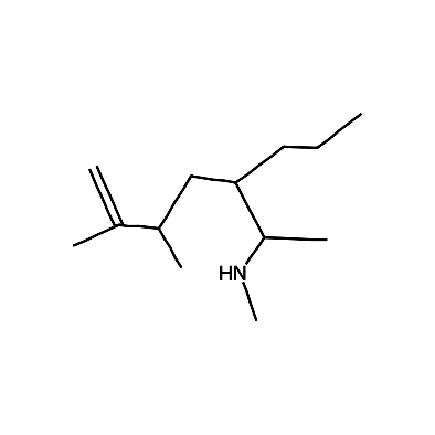 C=C(C)C(C)CC(CCC)C(C)NC